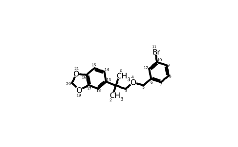 CC(C)(COCc1cccc(Br)c1)c1ccc2c(c1)OCO2